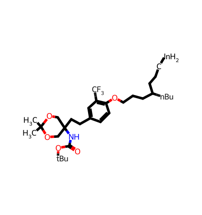 CCCCC(CC[CH2][InH2])CCCOc1ccc(CCC2(NC(=O)OC(C)(C)C)COC(C)(C)OC2)cc1C(F)(F)F